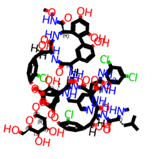 CN[C@H](CC(C)C)C(=O)N[C@H]1C(=O)N[C@@H](CC(N)=O)C(=O)N[C@H]2C(=O)N[C@H]3C(=O)N[C@H](C(=O)N[C@@H](C(=O)NOC)c4cc(O)cc(O)c4-c4cc3ccc4O)[C@H](O)c3ccc(c(Cl)c3)Oc3cc2cc(c3O[C@@H]2O[C@H](CO)[C@@H](O)[C@H](O)[C@H]2O[C@H]2C[C@](C)(NCc3cncc(C(=O)Nc4cc(Cl)cc(Cl)c4)c3)[C@H](O)[C@H](C)O2)Oc2ccc(cc2Cl)[C@H]1O